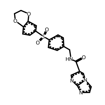 O=C(NCc1ccc(S(=O)(=O)c2ccc3c(c2)OCCO3)cc1)c1cnc2nccn2c1